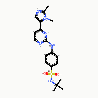 Cc1ncc(-c2ccnc(Nc3ccc(S(=O)(=O)NC(C)(C)C)cc3)n2)n1C